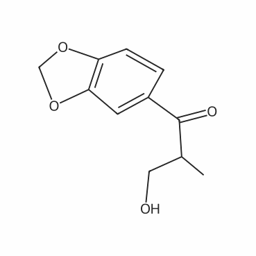 CC(CO)C(=O)c1ccc2c(c1)OCO2